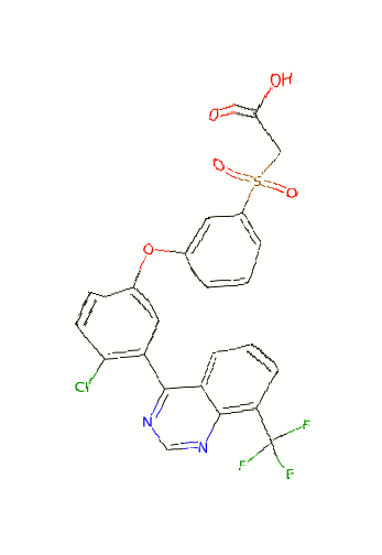 O=C(O)CS(=O)(=O)c1cccc(Oc2ccc(Cl)c(-c3ncnc4c(C(F)(F)F)cccc34)c2)c1